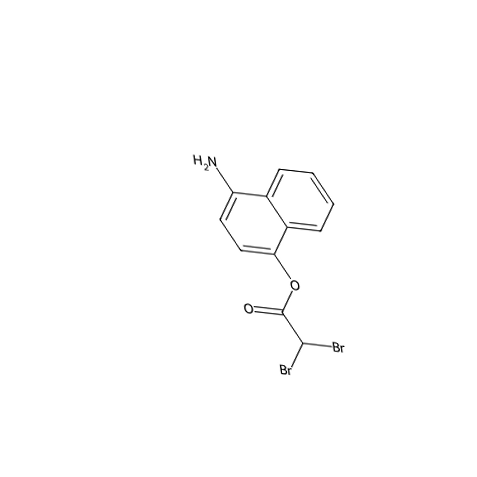 Nc1ccc(OC(=O)C(Br)Br)c2ccccc12